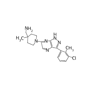 Cc1c(Cl)cccc1-c1n[nH]c2nc(N3CCC(C)(CN)CC3)cnc12